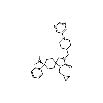 CN(C)[C@]1(c2ccccc2)CC[C@@]2(CC1)CN(CC1CCN(c3cncnc3)CC1)C(=O)N2CC1CC1